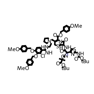 COc1ccc(COC(=O)C2=C(C[N+]3(CCNC(=N)c4ccc(OCc5ccc(OC)cc5)c(OCc5ccc(OC)cc5)c4Cl)CCCC3)CS[C@@H]3[C@H](NC(=O)/C(=N\OC(C)(C)C(=O)OC(C)(C)C)c4csc(NC(=O)OC(C)(C)C)n4)C(=O)N23)cc1